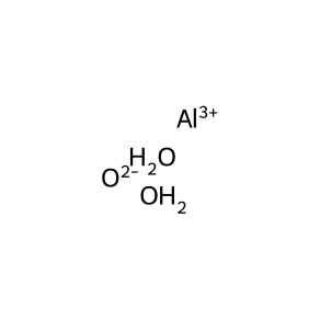 O.O.[Al+3].[O-2]